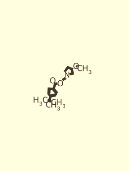 CO[C@@H]1CCN(CCOC(=O)c2ccc(C(C)(C)C)cc2)C1